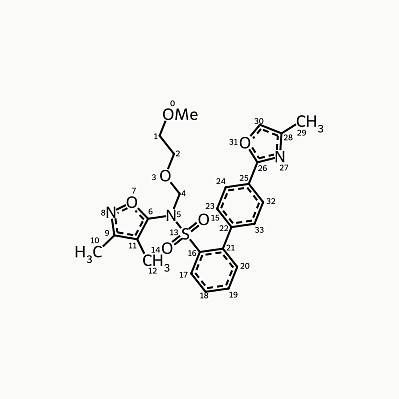 COCCOCN(c1onc(C)c1C)S(=O)(=O)c1ccccc1-c1ccc(-c2nc(C)co2)cc1